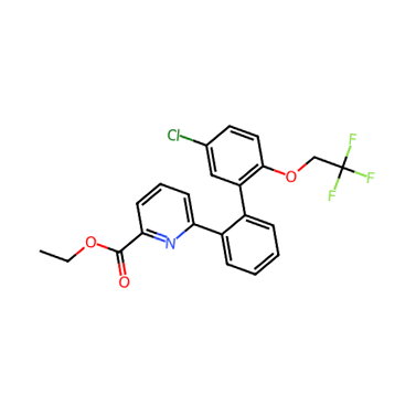 CCOC(=O)c1cccc(-c2ccccc2-c2cc(Cl)ccc2OCC(F)(F)F)n1